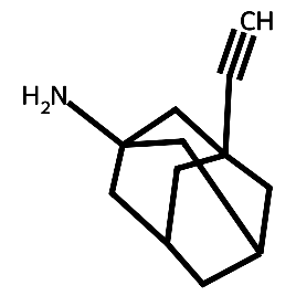 C#CC12CC3CC(CC(N)(C3)C1)C2